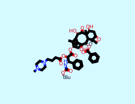 CC(=O)OC12COC1C[C@H](O)C1(C)C(=O)[C@H](O)C3=C(C)[C@@H](OC(=O)C(OC(=O)CCCN4CCN(C)CC4)[C@@H](NC(=O)OC(C)(C)C)c4ccccc4)CC(O)([C@@H](OC(=O)c4ccccc4)C21)C3(C)C